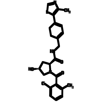 Cc1cccc(Cl)c1C(=O)N1C[C@H](O)C[C@H]1C(=O)NCC1=CC=C(c2scnc2C)CC1